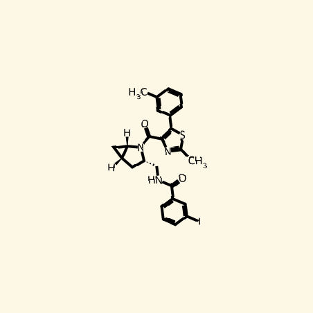 Cc1cccc(-c2sc(C)nc2C(=O)N2[C@H](CNC(=O)c3cccc(I)c3)C[C@@H]3C[C@@H]32)c1